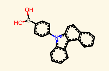 OB(O)c1ccc(-n2c3ccccc3c3c4ccccc4ccc32)cc1